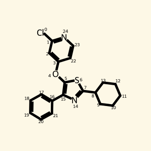 Clc1cc(Oc2sc(C3CCCCC3)nc2-c2ccccc2)ccn1